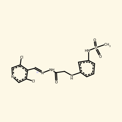 CS(=O)(=O)Nc1cccc(NCC(=O)N/N=C/c2c(Cl)cncc2Cl)c1